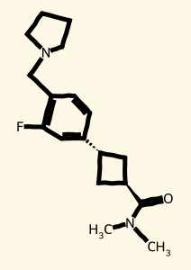 CN(C)C(=O)[C@H]1C[C@H](c2ccc(CN3CCCC3)c(F)c2)C1